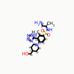 Cc1c(S(=O)(=O)N[C@H](C)CN)ccc(N2CCC(CO)CC2)c1-c1nnn[nH]1